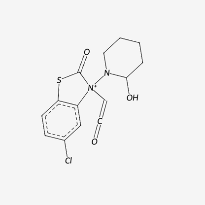 O=C=C[N+]1(N2CCCCC2O)C(=O)Sc2ccc(Cl)cc21